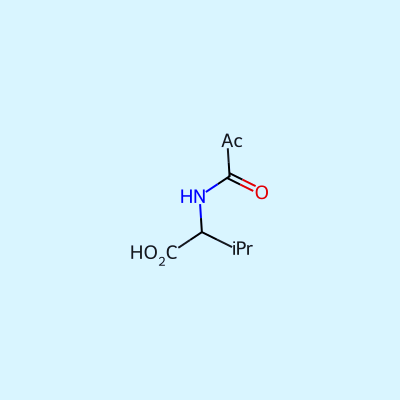 CC(=O)C(=O)NC(C(=O)O)C(C)C